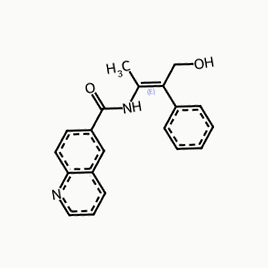 C/C(NC(=O)c1ccc2ncccc2c1)=C(\CO)c1ccccc1